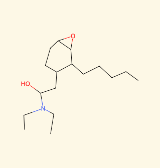 CCCCCC1C(CC(O)N(CC)CC)CCC2OC21